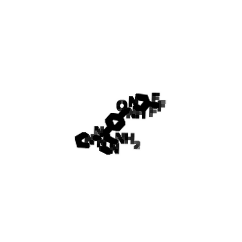 Nc1nccn2c(N3CCCC3)nc(-c3ccc(C(=O)Nc4cc(C(F)(F)F)ccn4)cc3)c12